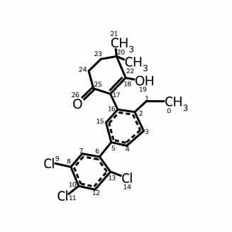 CCc1ccc(-c2cc(Cl)c(Cl)cc2Cl)cc1C1=C(O)C(C)(C)CCC1=O